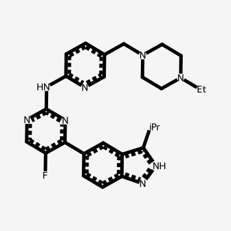 CCN1CCN(Cc2ccc(Nc3ncc(F)c(-c4ccc5n[nH]c(C(C)C)c5c4)n3)nc2)CC1